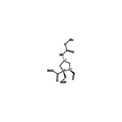 C=C[C@@H]1C[C@@H](NC(=O)OC(C)(C)C)C[C@@]1(CNC)C(=O)OC